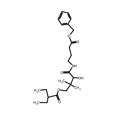 CCC(CC)C(=O)OCC(C)(C)C(O)C(=O)NCCCC(=O)OCc1ccccc1